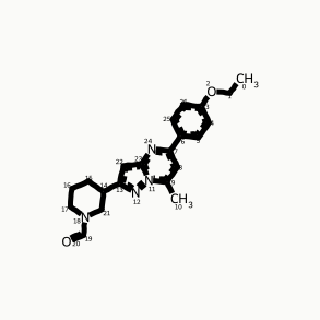 CCOc1ccc(-c2cc(C)n3nc(C4CCCN(C=O)C4)cc3n2)cc1